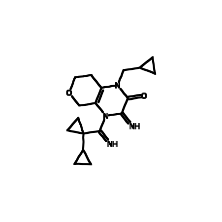 N=C(n1c2c(n(CC3CC3)c(=O)c1=N)CCOC2)C1(C2CC2)CC1